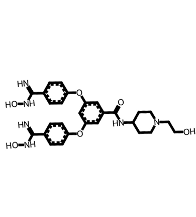 N=C(NO)c1ccc(Oc2cc(Oc3ccc(C(=N)NO)cc3)cc(C(=O)NC3CCN(CCO)CC3)c2)cc1